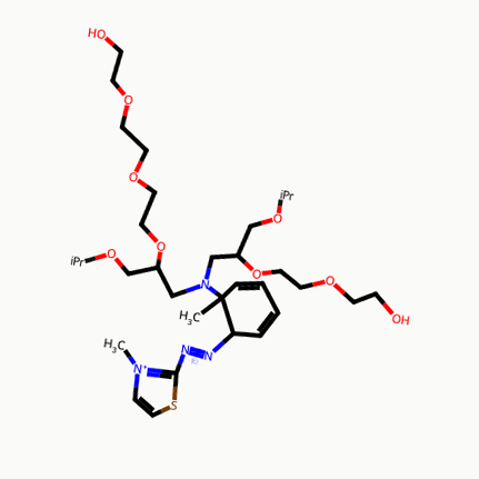 CC(C)OCC(CN(CC(COC(C)C)OCCOCCOCCO)C1(C)C=CC=CC1/N=N/c1scc[n+]1C)OCCOCCO